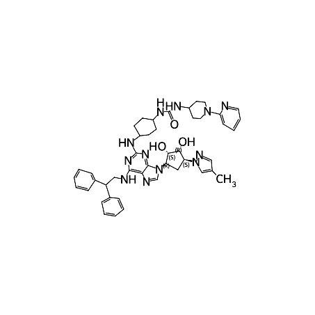 Cc1cnn([C@H]2C[C@@H](n3cnc4c(NCC(c5ccccc5)c5ccccc5)nc(NC5CCC(NC(=O)NC6CCN(c7ccccn7)CC6)CC5)nc43)[C@H](O)[C@@H]2O)c1